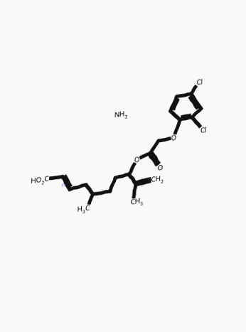 C=C(C)C(CCC(C)C/C=C/C(=O)O)OC(=O)COc1ccc(Cl)cc1Cl.N